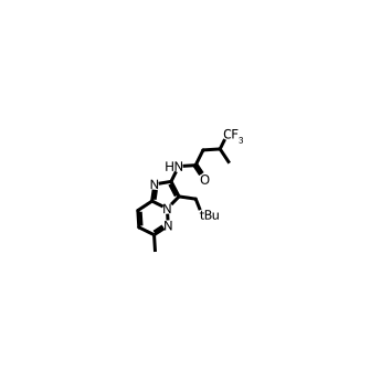 Cc1ccc2nc(NC(=O)CC(C)C(F)(F)F)c(CC(C)(C)C)n2n1